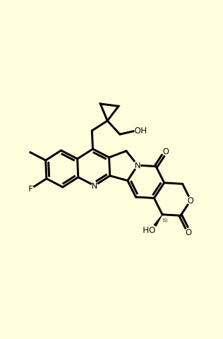 Cc1cc2c(CC3(CO)CC3)c3c(nc2cc1F)-c1cc2c(c(=O)n1C3)COC(=O)[C@H]2O